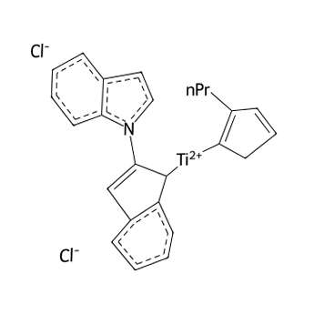 CCCC1=[C]([Ti+2][CH]2C(n3ccc4ccccc43)=Cc3ccccc32)CC=C1.[Cl-].[Cl-]